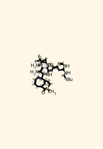 C=C/C(=C\C(C#N)=C1/CC(NCC(C)(C)C)NC=N1)N[C@H](/C(N)=C/N(N)C1(C(F)F)CC1)/C1=C/C=C\CC2C=C1C=CN(C)C2=O